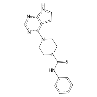 S=C(Nc1ccccc1)N1CCN(c2ncnc3[nH]ccc23)CC1